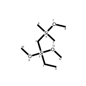 CC[Si](C[Si](C)(C)OC)(OC)OC